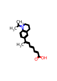 CC(=CC=CC=CC(=O)O)c1ccc2c(c1)CCCN2C(C)C